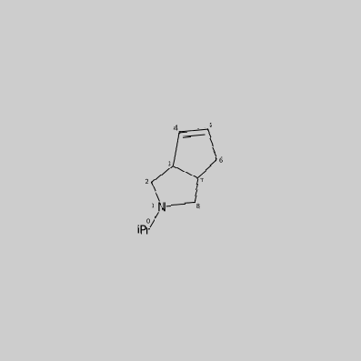 CC(C)N1CC2C=CCC2C1